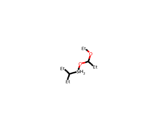 CCOC(CC)O[SiH2]C(CC)CC